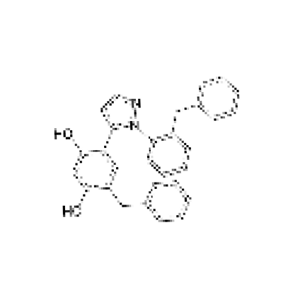 Oc1cc(O)c(-c2ccnn2-c2ccccc2Cc2ccccc2)cc1Cc1ccccc1